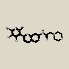 [2H]c1nc([2H])c(-c2ccc3cnc(NC(=O)CN4CCOCC4)cc3n2)c([2H])c1[2H]